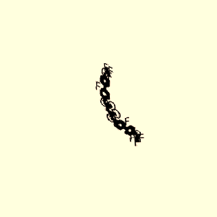 O=C(CC(=O)Oc1ccc(-c2ccc(OC(F)(F)F)cc2)c(F)c1)OC1=CC=C(c2ccc(OC(F)(F)F)cc2)C(F)C1